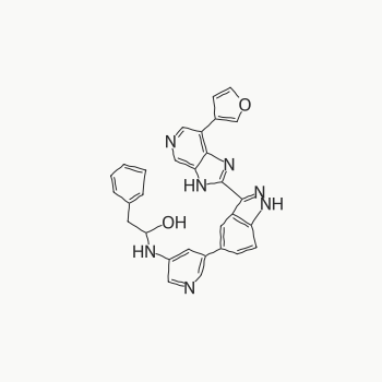 OC(Cc1ccccc1)Nc1cncc(-c2ccc3[nH]nc(-c4nc5c(-c6ccoc6)cncc5[nH]4)c3c2)c1